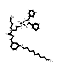 CCCCCCCCCCOc1cccc(CCC(=O)N(CCCO)CCOP(=O)(OCc2ccccc2)OCc2ccccc2)c1